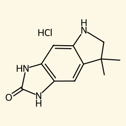 CC1(C)CNc2cc3[nH]c(=O)[nH]c3cc21.Cl